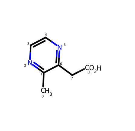 Cc1nccnc1CC(=O)O